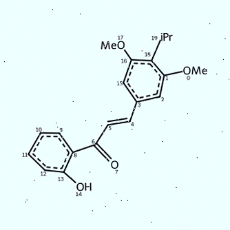 COc1cc(/C=C/C(=O)c2ccccc2O)cc(OC)c1C(C)C